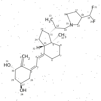 C=C1C(=CC=C2CCC[C@]3(C)[C@@H](C(C)CN4CCC(C(F)F)C4)CC[C@@H]23)C[C@@H](O)C[C@@H]1O